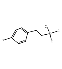 Cl[Si](Cl)(Cl)CCc1ccc(Br)cc1